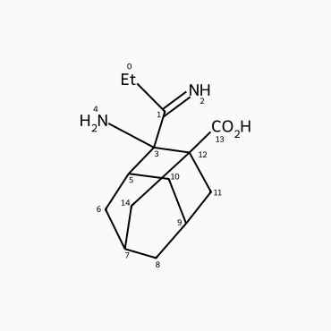 CCC(=N)C1(N)C2CC3CC(C2)CC1(C(=O)O)C3